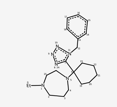 CCN1CCCN(C2(c3nnnn3Cc3ccccc3)CCCCC2)CC1